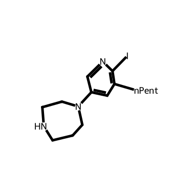 CCCCCc1cc(N2CCCNCC2)cnc1I